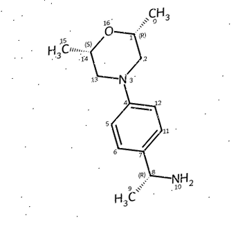 C[C@@H]1CN(c2ccc([C@@H](C)N)cc2)C[C@H](C)O1